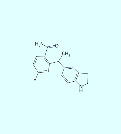 CC(c1ccc2c(c1)CCN2)c1cc(F)ccc1C(N)=O